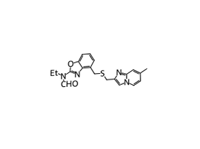 CCN(C=O)c1nc2c(CSCc3cn4ccc(C)cc4n3)cccc2o1